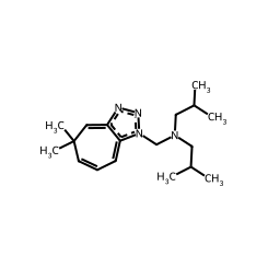 CC(C)CN(CC(C)C)Cn1nnc2c1=CC=CC(C)(C)C=2